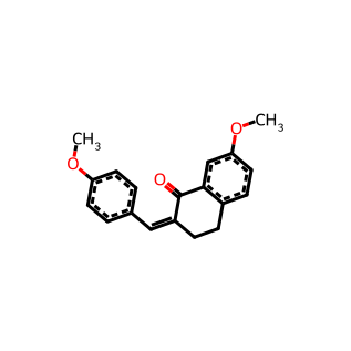 COc1ccc(C=C2CCc3ccc(OC)cc3C2=O)cc1